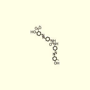 COC(=O)c1cc(N=Nc2ccc(NC(=O)Nc3ccc(N=Nc4ccc(O)c(C)c4)cc3)cc2)ccc1O